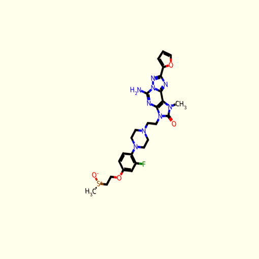 Cn1c(=O)n(CCN2CCN(c3ccc(OCC[S@+](C)[O-])cc3F)CC2)c2nc(N)n3nc(-c4ccco4)nc3c21